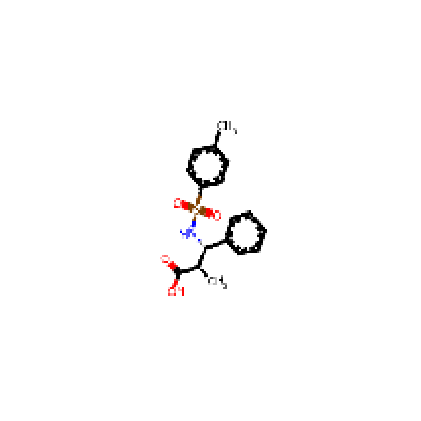 Cc1ccc(S(=O)(=O)N[C@H](c2ccccc2)[C@@H](C)C(=O)O)cc1